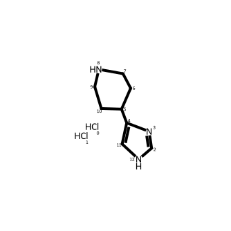 Cl.Cl.c1nc(C2CCNCC2)c[nH]1